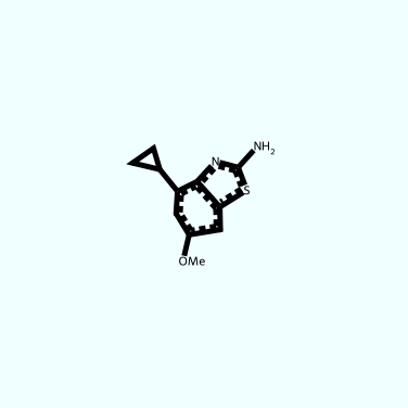 COc1cc(C2CC2)c2nc(N)sc2c1